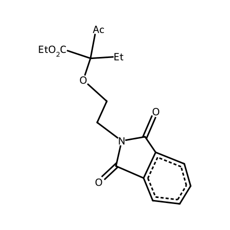 CCOC(=O)C(CC)(OCCN1C(=O)c2ccccc2C1=O)C(C)=O